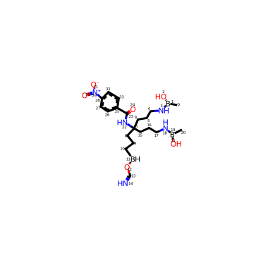 CB(O)NCCCC(CCCBOC=N)(CCCNB(C)O)NC(=O)c1ccc([N+](=O)[O-])cc1